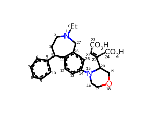 CCN1CCC(c2ccccc2)c2ccc(N3CCOCC3C(=CC(=O)O)C(=O)O)cc2C1